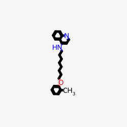 Cc1ccccc1OCCCCCCCCNc1ccnc2ccccc12